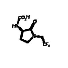 O=C(O)NC1CCN(CC(F)(F)F)C1=O